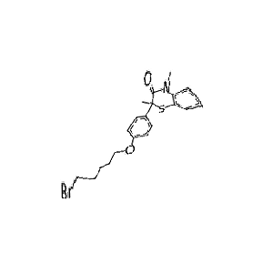 CN1C(=O)C(C)(c2ccc(OCCCCCBr)cc2)Sc2ccccc21